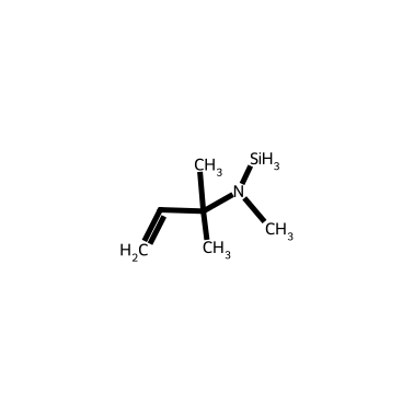 C=CC(C)(C)N(C)[SiH3]